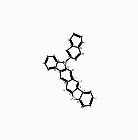 c1ccc2cc(-n3c4ccccc4c4cc5cc6oc7ccccc7c6cc5cc43)ccc2c1